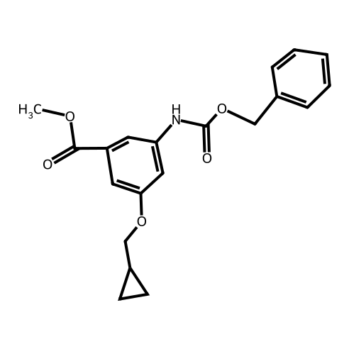 COC(=O)c1cc(NC(=O)OCc2ccccc2)cc(OCC2CC2)c1